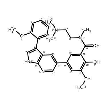 COc1ccccc1-c1c[nH]c2ncc(-c3cc(OC)c(O)c(C(=O)N(C)CCN(C)C)c3)cc12